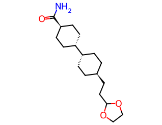 NC(=O)[C@H]1CC[C@H]([C@H]2CC[C@H](CCC3OCCO3)CC2)CC1